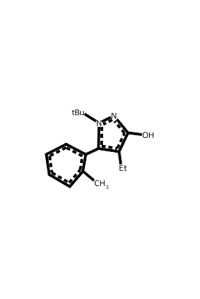 CCc1c(O)nn(C(C)(C)C)c1-c1ccccc1C